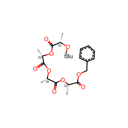 C[C@H](OC(=O)[C@H](C)OC(=O)[C@H](C)OC(=O)[C@H](C)OC(C)(C)C)C(=O)OCc1ccccc1